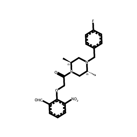 C[C@@H]1CN(C(=O)COc2c(C=O)cccc2[N+](=O)[O-])[C@@H](C)CN1Cc1ccc(F)cc1